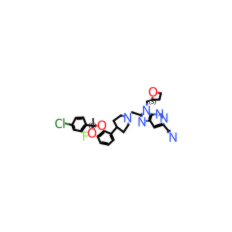 C[C@]1(c2ccc(Cl)cc2F)Oc2cccc(C3CCN(Cc4nc5cc(C#N)nnc5n4C[C@@H]4CCO4)CC3)c2O1